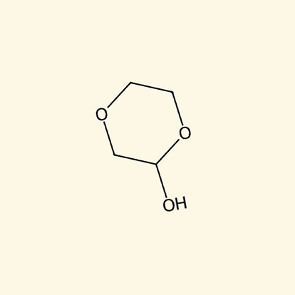 OC1COCCO1